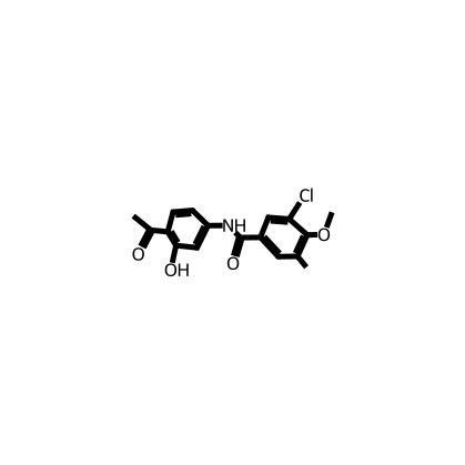 COc1c(C)cc(C(=O)Nc2ccc(C(C)=O)c(O)c2)cc1Cl